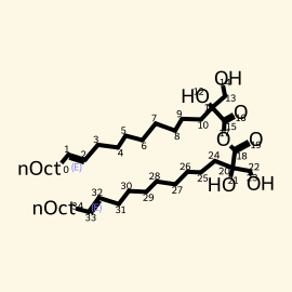 CCCCCCCC/C=C/CCCCCCCCC(O)(CO)C(=O)OC(=O)C(O)(CO)CCCCCCCC/C=C/CCCCCCCC